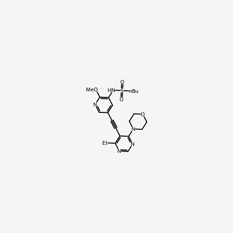 CCCCS(=O)(=O)Nc1cc(C#Cc2c(CC)ncnc2N2CCOCC2)cnc1OC